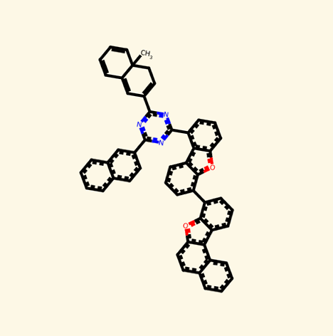 CC12C=CC=CC1=CC(c1nc(-c3ccc4ccccc4c3)nc(-c3cccc4oc5c(-c6cccc7c6oc6ccc8ccccc8c67)cccc5c34)n1)=CC2